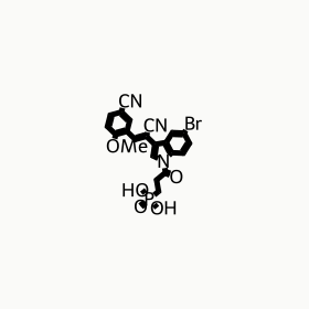 COc1ccc(C#N)cc1/C=C(\C#N)c1cn(C(=O)CCP(=O)(O)O)c2ccc(Br)cc12